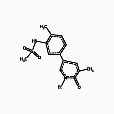 CCn1cc(-c2ccc(C)c(NS(C)(=O)=O)c2)cc(C)c1=O